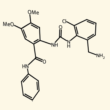 COc1cc(NC(=O)Nc2c(Cl)cccc2CN)c(C(=O)Nc2cc[c]cc2)cc1OC